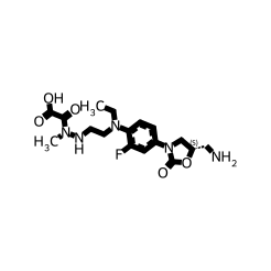 CCN(CCNN(C)C(=O)C(=O)O)c1ccc(N2C[C@H](CN)OC2=O)cc1F